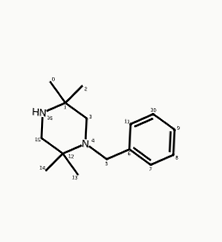 CC1(C)CN(Cc2ccccc2)C(C)(C)CN1